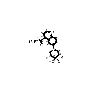 C[C@@H]1CN(c2ccc3nccc(C(=O)OC(C)(C)C)c3c2)C[C@H](C)[C@]1(C)O